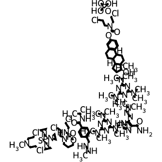 CN(C)/N=N/c1[nH]cnc1C(N)=O.CN(C)c1nc(N(C)C)nc(N(C)C)n1.CN(C)c1nc(N(C)C)nc(N(C)C)n1.CN(CCCl)CCCl.CNNCc1ccc(C(=O)NC(C)C)cc1.C[C@]12CC[C@@H]3c4ccc(OC(=O)N(CCCl)CCCl)cc4CC[C@H]3[C@@H]1CC[C@@H]2O.O=P(O)(O)O.O=P1(NCCCl)OCCCN1CCCl.S=P(N1CC1)(N1CC1)N1CC1